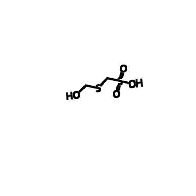 O=S(=O)(O)CSCO